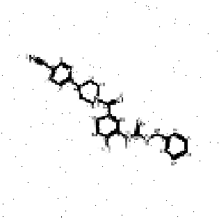 N#Cc1ccc(C2CCN(C(=O)c3ccc(Cl)c(NC(=O)OCc4ccccc4)c3)CC2)cc1